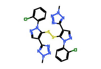 Cn1nnc(-c2cnn(-c3ccccc3Cl)c2SSc2c(-c3nnn(C)n3)cnn2-c2ccccc2Cl)n1